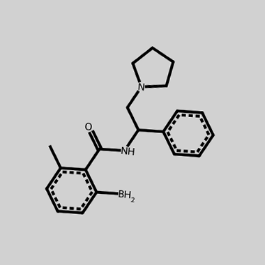 Bc1cccc(C)c1C(=O)NC(CN1CCCC1)c1ccccc1